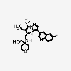 C=Cc1c(CNC2(CO)CCOCC2)nc2c(-c3cnc4ccc(F)cc4c3)cnn2c1N